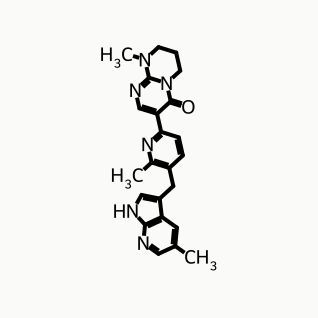 Cc1cnc2[nH]cc(Cc3ccc(-c4cnc5n(c4=O)CCCN5C)nc3C)c2c1